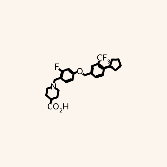 O=C(O)C1CCN(Cc2ccc(OCc3ccc(C4CCCC4)c(C(F)(F)F)c3)cc2F)CC1